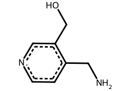 NCc1ccncc1CO